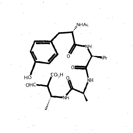 CC(=O)N[C@@H](Cc1ccc(O)cc1)C(=O)N[C@H](C(=O)N[C@@H](C)C(=O)N[C@H](C)C(C=O)C(=O)O)C(C)C